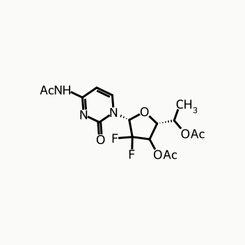 CC(=O)Nc1ccn([C@@H]2O[C@H](C(C)OC(C)=O)C(OC(C)=O)C2(F)F)c(=O)n1